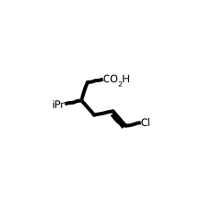 CC(C)C(CC=CCl)CC(=O)O